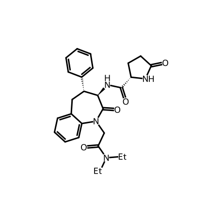 CCN(CC)C(=O)CN1C(=O)[C@H](NC(=O)[C@@H]2CCC(=O)N2)[C@@H](c2ccccc2)Cc2ccccc21